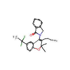 CC(=O)NCC1=C(N2Cc3ccccc3C2=O)c2cc(C(F)(F)C(F)(F)F)ccc2OC1(C)C